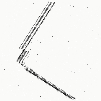 CN.CN.CN.CN.CN.CN.CN.CN.CN.CN.CN.CN.CN.CN.CN.Cl.Cl.Cl.Cl.Cl.Cl.Cl.Cl.Cl.Cl.Cl.Cl.Cl.Cl.Cl.Cl.Cl.Cl.Cl.Cl.Cl.Cl.Cl.Cl.Cl.Cl.Cl.Cl.Cl.Cl.Cl.Cl.Cl.Cl.Cl.Cl.Cl.Cl.Cl.Cl.Cl.Cl.Cl.Cl.Cl.Cl.Cl.Cl.Cl.Cl.Cl.Cl.Cl.Cl.Cl.Cl.Cl.Cl.Cl.Cl.Cl.Cl.Cl.Cl.Cl.Cl.Cl.Cl.Cl.Cl.Cl.Cl.Cl.Cl.Cl.Cl.Cl.Cl.Cl.Cl.Cl.Cl.Cl.Cl.Cl